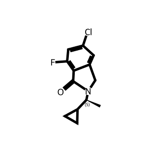 C[C@@H](C1CC1)N1Cc2cc(Cl)cc(F)c2C1=O